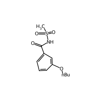 CCCCOc1cccc(C(=O)NS(C)(=O)=O)c1